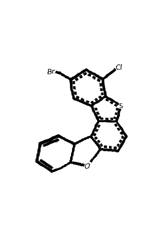 Clc1cc(Br)cc2c1sc1ccc3c(c12)C1C=CC=CC1O3